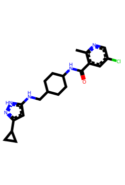 Cc1ncc(Cl)cc1C(=O)NC1CCC(CNc2cc(C3CC3)n[nH]2)CC1